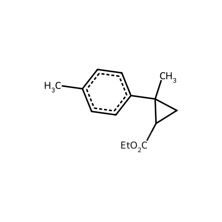 CCOC(=O)C1CC1(C)c1ccc(C)cc1